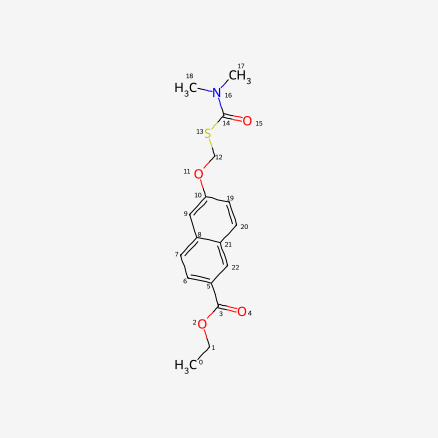 CCOC(=O)c1ccc2cc(OCSC(=O)N(C)C)ccc2c1